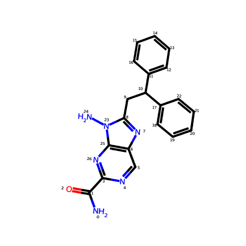 NC(=O)c1ncc2nc(CC(c3ccccc3)c3ccccc3)n(N)c2n1